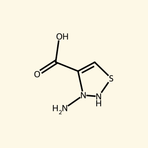 NN1NSC=C1C(=O)O